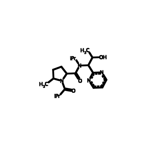 CC(C)C(=O)N1C(C)CCC1C(=O)N(C(C)C)C(c1ncccn1)C(C)O